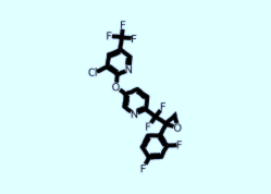 Fc1ccc(C2(C(F)(F)c3ccc(Oc4ncc(C(F)(F)F)cc4Cl)cn3)CO2)c(F)c1